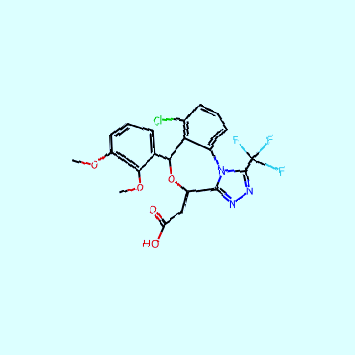 COc1cccc(C2OC(CC(=O)O)c3nnc(C(F)(F)F)n3-c3cccc(Cl)c32)c1OC